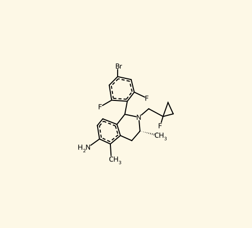 Cc1c(N)ccc2c1C[C@@H](C)N(CC1(F)CC1)C2c1c(F)cc(Br)cc1F